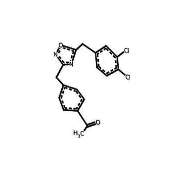 CC(=O)c1ccc(Cc2noc(Cc3ccc(Cl)c(Cl)c3)n2)cc1